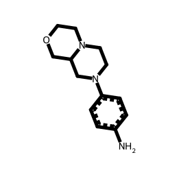 Nc1ccc(N2CCN3CCOCC3C2)cc1